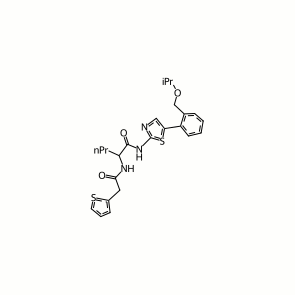 CCCC(NC(=O)Cc1cccs1)C(=O)Nc1ncc(-c2ccccc2COC(C)C)s1